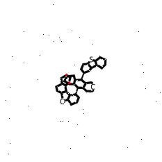 c1ccc2c(c1)ccc1oc3cccc(-c4c5ccccc5c(-c5ccc6sc7ccccc7c6c5)c5ccccc45)c3c12